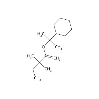 C=C(OC(C)(C)C1CCCCC1)C(C)(C)CC